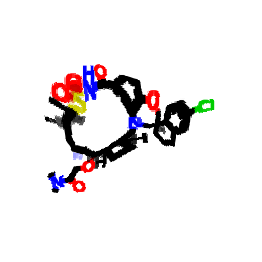 C[C@@H]1[C@@H](C)C/C=C/[C@H](OCC(=O)N(C)C)[C@@H]2CC[C@H]2CN2C[C@@]3(CCCc4cc(Cl)ccc43)COc3ccc(cc32)C(=O)NS1(=O)=O